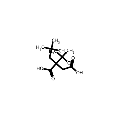 CC(C)(C)CC(CC(=O)O)(C(=O)O)C(C)(C)C